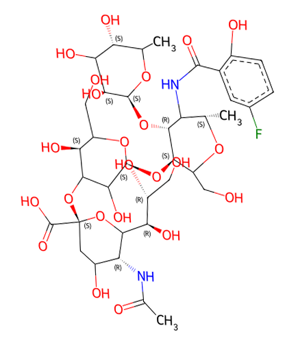 CC(=O)N[C@@H]1C(O)C[C@](OC2C(O)[C@H](O[C@@H]3C(CO)O[C@@H](C)C(NC(=O)c4cc(F)ccc4O)[C@H]3O[C@@H]3OC(C)[C@@H](O)C(O)[C@@H]3O)OC(CO)[C@@H]2O)(C(=O)O)OC1[C@H](O)[C@H](O)CO